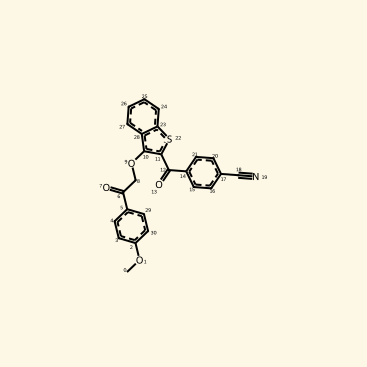 COc1ccc(C(=O)COc2c(C(=O)c3ccc(C#N)cc3)sc3ccccc23)cc1